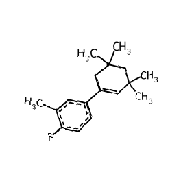 Cc1cc(C2=CC(C)(C)CC(C)(C)C2)ccc1F